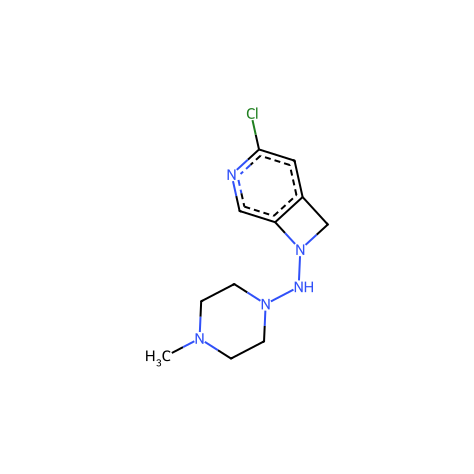 CN1CCN(NN2Cc3cc(Cl)ncc32)CC1